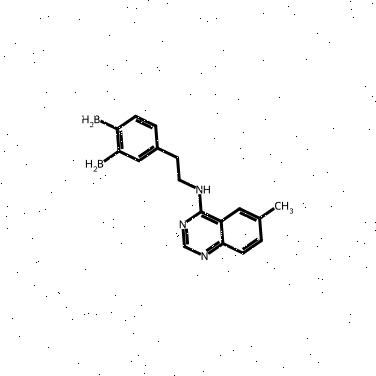 Bc1ccc(CCNc2ncnc3ccc(C)cc23)cc1B